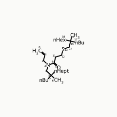 C=CCN(CC(C)(CCCC)CCCCCCC)C(=O)CCSCC(C)(CCCC)CCCCCC